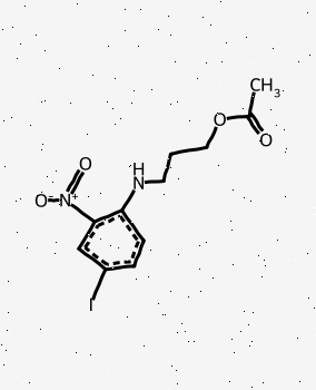 CC(=O)OCCCNc1ccc(I)cc1[N+](=O)[O-]